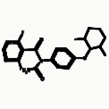 CC1CCCC(C)C1Oc1ccc(N(C(N)=O)C(=O)c2c(F)cccc2F)cc1